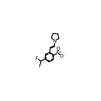 O=[N+]([O-])c1ccc(C(F)F)cc1/C=C/N1CCCC1